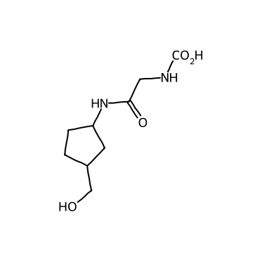 O=C(O)NCC(=O)NC1CCC(CO)C1